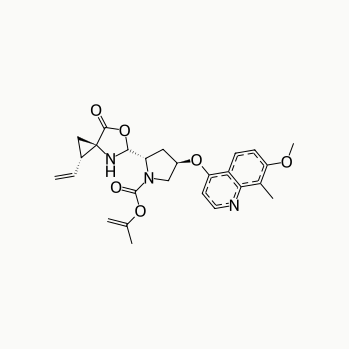 C=C[C@@H]1C[C@@]12NC([C@@H]1C[C@@H](Oc3ccnc4c(C)c(OC)ccc34)CN1C(=O)OC(=C)C)OC2=O